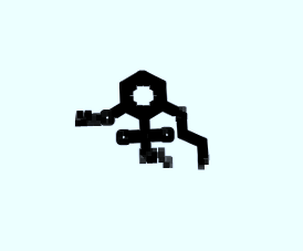 COc1cccc(SCCF)c1S(N)(=O)=O